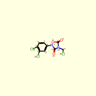 O=c1on(-c2ccc(Cl)c(Cl)c2)c(=O)n1CCl